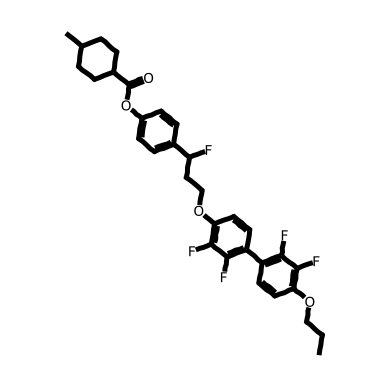 CCCOc1ccc(-c2ccc(OCCC(F)c3ccc(OC(=O)C4CCC(C)CC4)cc3)c(F)c2F)c(F)c1F